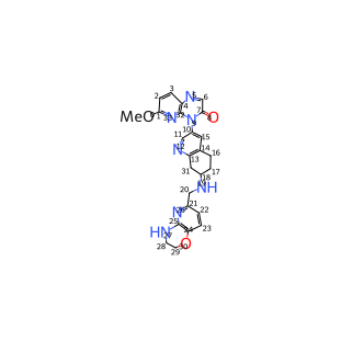 COc1ccc2ncc(=O)n(-c3cnc4c(c3)CCC(NCc3ccc5c(n3)NCCO5)C4)c2n1